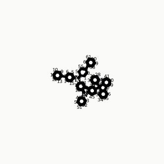 C1=CC(N(c2ccc(-c3ccccc3)cc2)c2ccc3c(c2)c2cc(C4(c5ccccc5)c5ccccc5-c5ccccc54)ccc2n3-c2ccccc2)CC=C1c1ccccc1